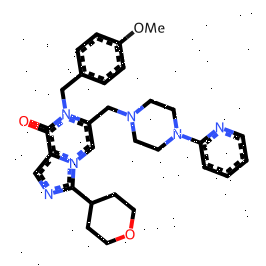 COc1ccc(Cn2c(CN3CCN(c4ccccn4)CC3)cn3c(C4CCOCC4)ncc3c2=O)cc1